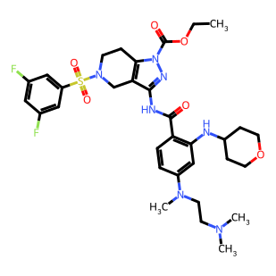 CCOC(=O)n1nc(NC(=O)c2ccc(N(C)CCN(C)C)cc2NC2CCOCC2)c2c1CCN(S(=O)(=O)c1cc(F)cc(F)c1)C2